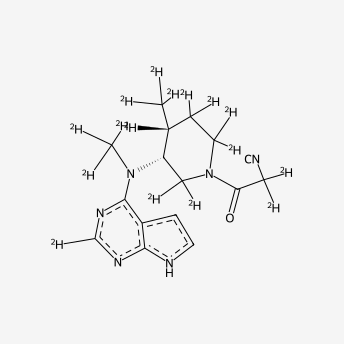 [2H]c1nc(N([C@H]2C([2H])([2H])N(C(=O)C([2H])([2H])[N+]#[C-])C([2H])([2H])C([2H])([2H])[C@@]2([2H])C([2H])([2H])[2H])C([2H])([2H])[2H])c2cc[nH]c2n1